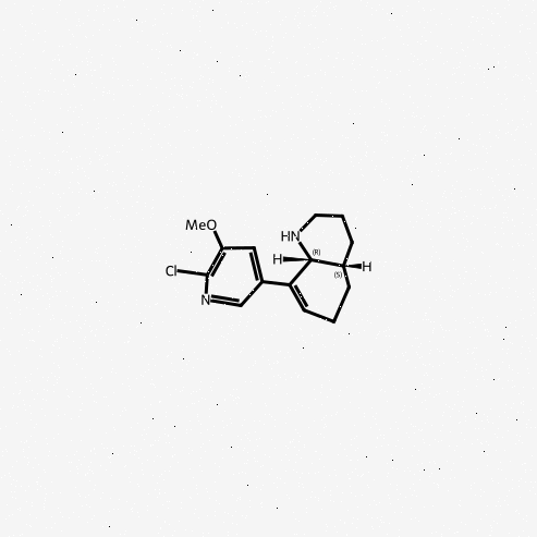 COc1cc(C2=CCC[C@H]3CCCN[C@@H]23)cnc1Cl